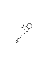 CC(C)(C)c1ccccc1CCCCCC[O]